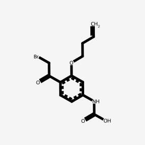 C=CCCOc1cc(NC(=O)O)ccc1C(=O)CBr